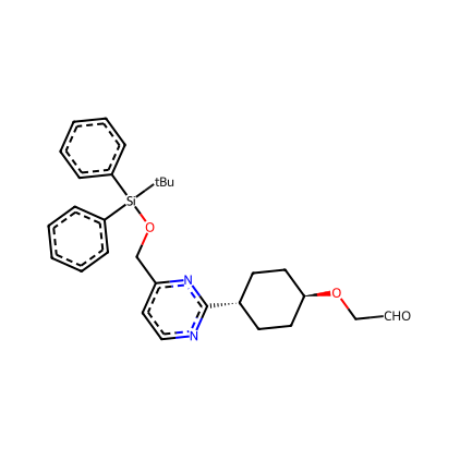 CC(C)(C)[Si](OCc1ccnc([C@H]2CC[C@H](OCC=O)CC2)n1)(c1ccccc1)c1ccccc1